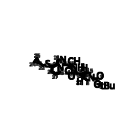 CC(C)(C)OC(=O)N1C[C@@H]2[C@H](C1)[C@H]2C(=O)NC(C)(C)c1ncc2c(SCC3CC3)cccn12